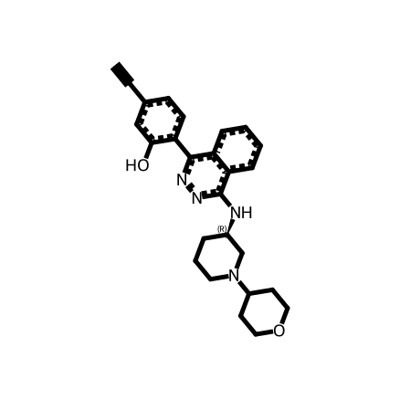 C#Cc1ccc(-c2nnc(N[C@@H]3CCCN(C4CCOCC4)C3)c3ccccc23)c(O)c1